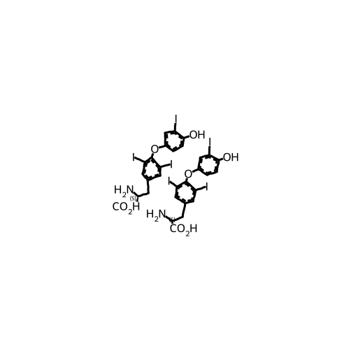 N[C@@H](Cc1cc(I)c(Oc2ccc(O)c(I)c2)c(I)c1)C(=O)O.N[C@@H](Cc1cc(I)c(Oc2ccc(O)c(I)c2)c(I)c1)C(=O)O